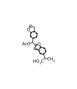 CC(=O)OC(c1ccc2c(c1)OOC2)c1nc2cc(C(C)C(=O)O)ccc2o1